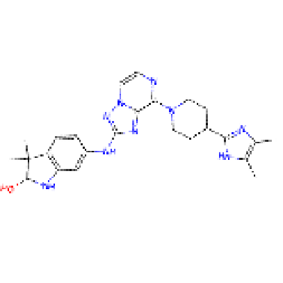 Cc1nc(C2CCN(c3nccn4nc(Nc5ccc6c(c5)NC(O)C6(C)C)nc34)CC2)[nH]c1C